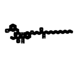 CCCCCCCCCCCCNC(=O)CCCOc1ccc(NC(NC(=O)Cc2cccc(Cl)c2)C(=O)NCC)cc1